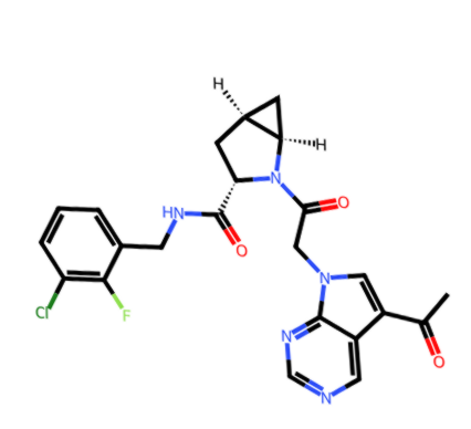 CC(=O)c1cn(CC(=O)N2[C@@H]3C[C@@H]3C[C@H]2C(=O)NCc2cccc(Cl)c2F)c2ncncc12